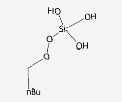 CCCCCOO[Si](O)(O)O